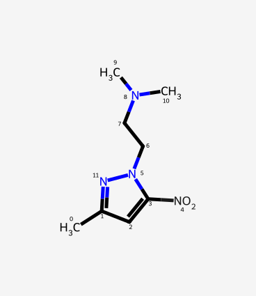 Cc1cc([N+](=O)[O-])n(CCN(C)C)n1